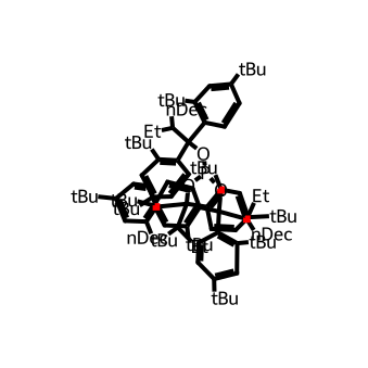 CCCCCCCCCCC(CC)C(OP(OC(c1ccc(C(C)(C)C)cc1C(C)(C)C)(c1ccc(C(C)(C)C)cc1C(C)(C)C)C(CC)CCCCCCCCCC)OC(c1ccc(C(C)(C)C)cc1C(C)(C)C)(c1ccc(C(C)(C)C)cc1C(C)(C)C)C(CC)CCCCCCCCCC)(c1ccc(C(C)(C)C)cc1C(C)(C)C)c1ccc(C(C)(C)C)cc1C(C)(C)C